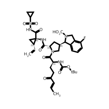 C=C[C@@H]1C[C@]1(NC(=O)[C@@H]1C[C@@H](C2c3cccc(F)c3CN2C(=O)O)CN1C(=O)[C@H](CCC(=O)C=CC)NC(=O)OC(C)(C)C)C(=O)NS(=O)(=O)C1CC1